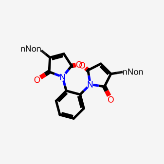 CCCCCCCCCC1=CC(=O)N(c2ccccc2N2C(=O)C=C(CCCCCCCCC)C2=O)C1=O